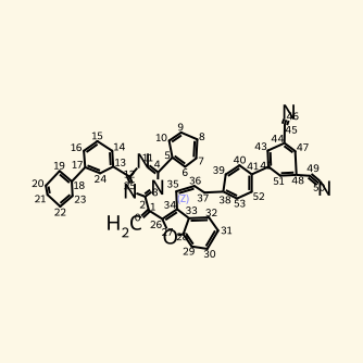 C=C(c1nc(-c2ccccc2)nc(-c2cccc(-c3ccccc3)c2)n1)c1oc2ccccc2c1/C=C\Cc1ccc(-c2cc(C#N)cc(C#N)c2)cc1